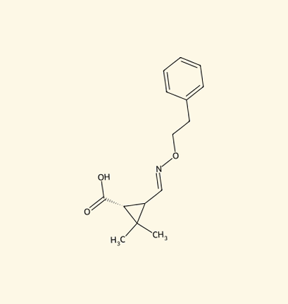 CC1(C)C(C=NOCCc2ccccc2)[C@H]1C(=O)O